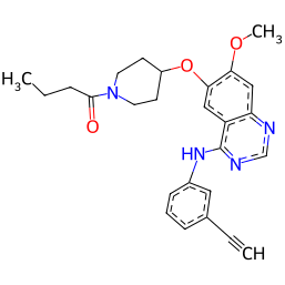 C#Cc1cccc(Nc2ncnc3cc(OC)c(OC4CCN(C(=O)CCC)CC4)cc23)c1